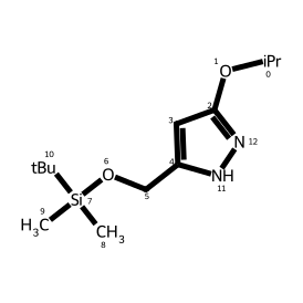 CC(C)Oc1cc(CO[Si](C)(C)C(C)(C)C)[nH]n1